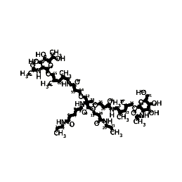 CCCNC(=O)CCCC(=O)NC(COCCC(=O)NCCC)(COCCC(=O)NCC(C)CC(C)COC1OC(CO)C(O)C(O)C1NC(C)=O)COCCC(=O)NCC(C)CC(C)COC(OC(CO)[C@@H](C)O)[C@H](CO)NC(C)=O